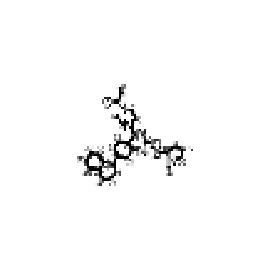 C=CC(=O)N1CCN(c2nc(OCC3CCCN3C)nc3c2CC[C@H](N2CCCc4ccccc42)C3)CC1